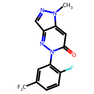 Cn1ncc2nn(-c3cc(C(F)(F)F)ccc3F)c(=O)cc21